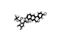 CC1CC(c2nc3ccc4cc5c(cc4c3[nH]2)COc2cc(Cl)ccc2-5)N(C(=O)OC(C)(C)C)C1C